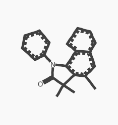 Cc1cc2ccccc2c2c1C(C)(C)C(=O)N2c1ccccc1